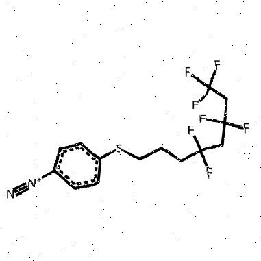 N#[N+]c1ccc(SCCCC(F)(F)CC(F)(F)CC(F)(F)F)cc1